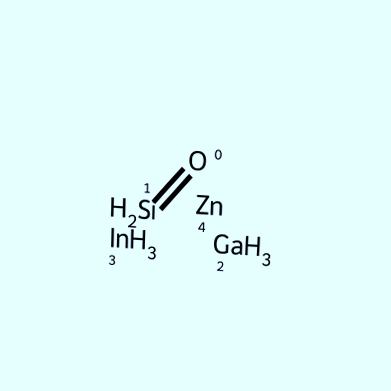 O=[SiH2].[GaH3].[InH3].[Zn]